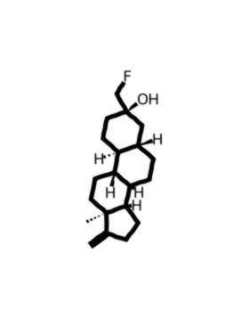 C=C1CC[C@H]2[C@@H]3CC[C@H]4C[C@@](O)(CF)CC[C@@H]4[C@H]3CC[C@]12C